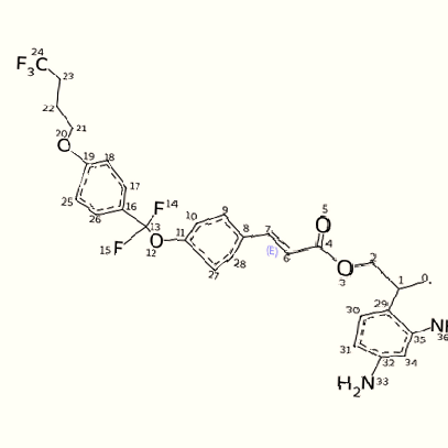 [CH2]C(COC(=O)/C=C/c1ccc(OC(F)(F)c2ccc(OCCCC(F)(F)F)cc2)cc1)c1ccc(N)cc1N